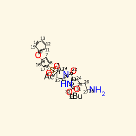 CC(=O)C1(S(=O)(=O)c2ccc(Oc3ccccc3)cc2)CCN(C(=O)[C@H](CCCCN)NC(=O)OC(C)(C)C)CC1